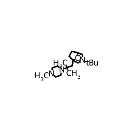 CN1CCN(C(C)(C)CC23CCC(CN(C(C)(C)C)C2)O3)CC1